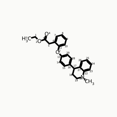 CCOC(=O)Cc1ccccc1Oc1ccc(C2CCN(C)c3ccccc32)cc1